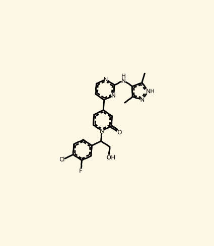 Cc1n[nH]c(C)c1Nc1nccc(-c2ccn(C(CO)c3ccc(Cl)c(F)c3)c(=O)c2)n1